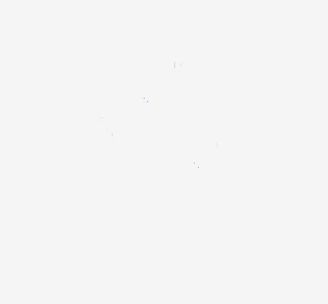 CCc1ccc(CC)n1CC1c2c(c3ccccc3n2CC)C(=O)CC1CC